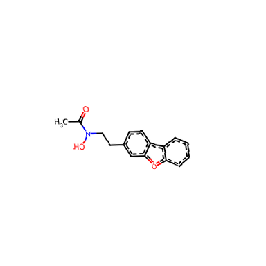 CC(=O)N(O)CCc1ccc2c(c1)oc1ccccc12